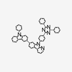 c1ccc(-c2nc(-c3ccccc3)nc(-c3ccc(-n4c5cc(-c6ccc7c(c6)c6ccccc6n7-c6ccccc6)ccc5c5cccnc54)cc3)n2)cc1